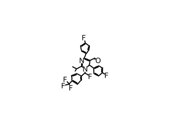 CC(C)C1=NC(c2ccc(F)cc2)=C(C=O)C(c2ccc(F)cc2)N1C(F)c1ccc(C(F)(F)F)cc1